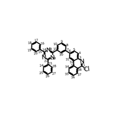 Clc1nc2ccc(-c3cccc(-c4nc(-c5ccccc5)nc(-c5ccccc5)n4)c3)cc2c2ccccc12